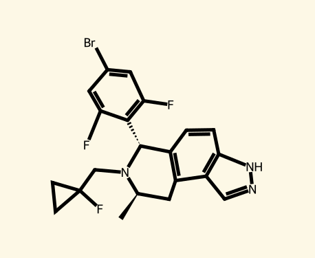 C[C@@H]1Cc2c(ccc3[nH]ncc23)[C@@H](c2c(F)cc(Br)cc2F)N1CC1(F)CC1